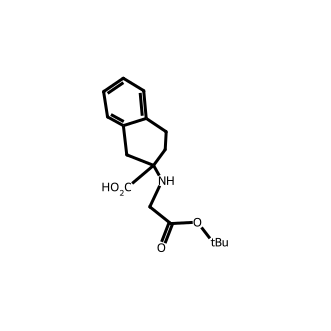 CC(C)(C)OC(=O)CNC1(C(=O)O)CCc2ccccc2C1